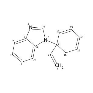 C=CC1(n2cnc3ccccc32)C=CC=CC1